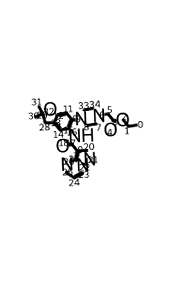 CCOC(=O)CN1CCN(c2cc3c(cc2NC(=O)c2cnn4cccnc24)CC(C)(C)O3)CC1